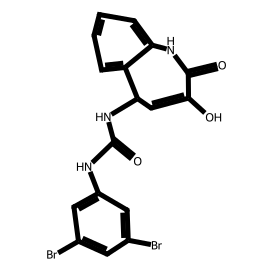 O=C(Nc1cc(Br)cc(Br)c1)NC1C=C(O)C(=O)Nc2ccccc21